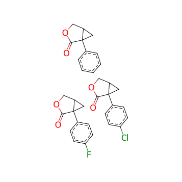 O=C1OCC2CC12c1ccc(Cl)cc1.O=C1OCC2CC12c1ccc(F)cc1.O=C1OCC2CC12c1ccccc1